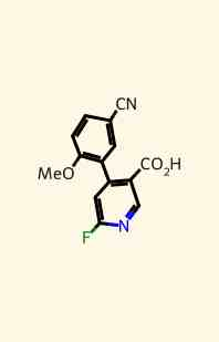 COc1ccc(C#N)cc1-c1cc(F)ncc1C(=O)O